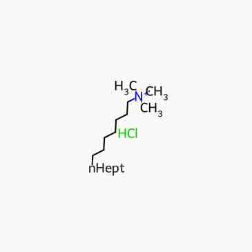 CCCCCCCCCCCCCC[N+](C)(C)C.Cl